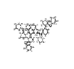 c1ccc(N(c2cccc(-c3cccc4c3oc3ccccc34)c2)c2cc3ccc4ccc(N(c5ccccc5)c5cccc(-c6cccc7c6oc6ccccc67)c5)c5ccc(c2)c3c45)cc1